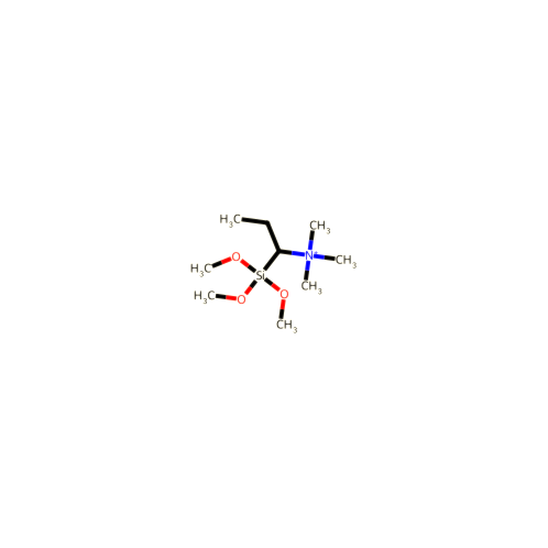 CCC([N+](C)(C)C)[Si](OC)(OC)OC